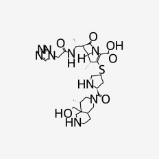 C[C@@H]1CN(C(=O)[C@@H]2C[C@H](SC3=C(C(=O)O)N4C(=O)[C@H]([C@@H](C)NC(=O)Cn5cnnn5)[C@H]4[C@H]3C)CN2)CC2CCNCC21CO